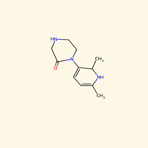 CC1=CC=C(N2CCNCC2=O)C(C)N1